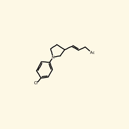 CC(=O)CC=CC1CCN(c2ccc(Cl)cc2)C1